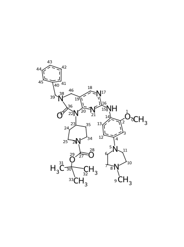 COc1cc(N2CCN(C)CC2)ccc1Nc1ncc2c(n1)N(C1CCN(C(=O)OC(C)(C)C)CC1)C(=O)N(Cc1ccccc1)C2